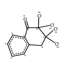 O=C1c2ccccc2CC(Cl)(Cl)C1(Cl)Cl